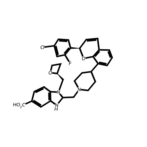 O=C(O)c1ccc2c(c1)NC(CN1CCC(c3cccc4c3O[C@@H](c3ccc(Cl)cc3F)C=C4)CC1)N2C[C@@H]1CCO1